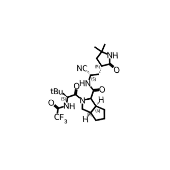 CC1(C)C[C@@H](C[C@@H](C#N)NC(=O)C2[C@H]3CCC[C@H]3CN2C(=O)[C@@H](NC(=O)C(F)(F)F)C(C)(C)C)C(=O)N1